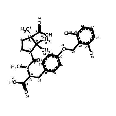 CN(C(=O)[C@H]1CC[C@@](C)(C(=O)O)C1(C)C)[C@@H](Cc1ccc(OCc2c(Cl)cccc2Cl)cc1)C(=O)O